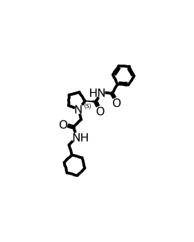 O=C(CN1CCC[C@H]1C(=O)NC(=O)c1ccccc1)NCC1CCCCC1